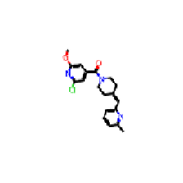 COc1cc(C(=O)N2CCC(=Cc3cccc(C)n3)CC2)cc(Cl)n1